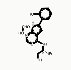 CC(C)[C@H](CO)Nc1ncnc2[nH]c(-c3ccccc3O)cc12.O=CO